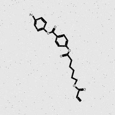 C=CC(=O)OCCCCCC(=O)Oc1ccc(C(=O)Oc2ccc(C(C)=O)cc2)cc1